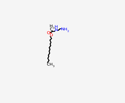 CCCCCCCCCCCCCCCCOC(=O)C(C)CNCCN